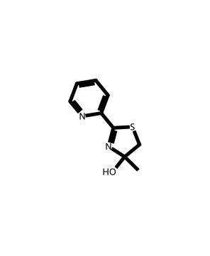 CC1(O)CSC(c2ccccn2)=N1